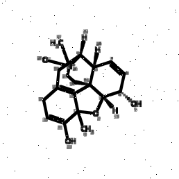 CC12O[C@H]3[C@@H](O)C=C[C@H]4[C@H]5CC(=C1[C@]43CC[N+]5(C)[O-])CC=C2O